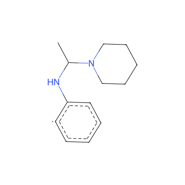 CC(Nc1[c]cccc1)N1CCCCC1